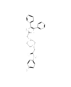 O=C(CN1CCN(Cc2nc(-c3ccccc3)c(-c3ccccc3)o2)CC1)Nc1ccc(F)cc1